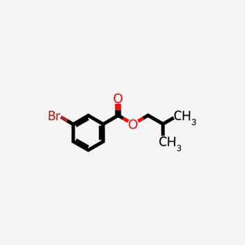 CC(C)COC(=O)c1cccc(Br)c1